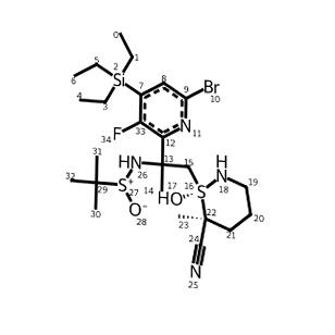 CC[Si](CC)(CC)c1cc(Br)nc(C(C)(C[S@@]2(O)NCCC[C@@]2(C)C#N)N[S+]([O-])C(C)(C)C)c1F